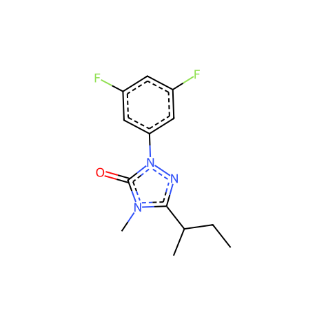 CCC(C)c1nn(-c2cc(F)cc(F)c2)c(=O)n1C